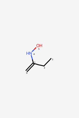 C=C(CC)NO